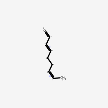 C/C=C\CC/C=C/C=O